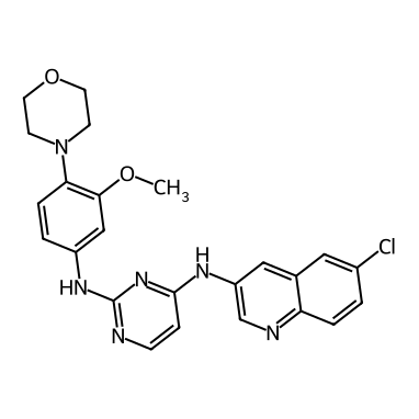 COc1cc(Nc2nccc(Nc3cnc4ccc(Cl)cc4c3)n2)ccc1N1CCOCC1